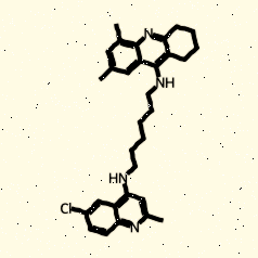 Cc1cc(C)c2nc3c(c(NCCCCCCNc4cc(C)nc5ccc(Cl)cc45)c2c1)CCCC3